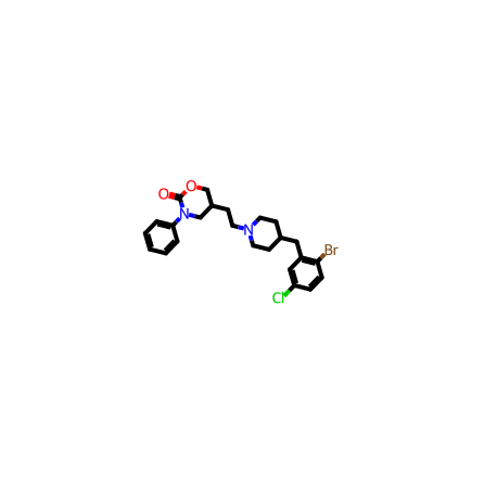 O=C1OCC(CCN2CCC(Cc3cc(Cl)ccc3Br)CC2)CN1c1ccccc1